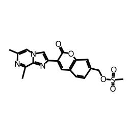 Cc1cn2cc(-c3cc4ccc(COS(C)(=O)=O)cc4oc3=O)nc2c(C)n1